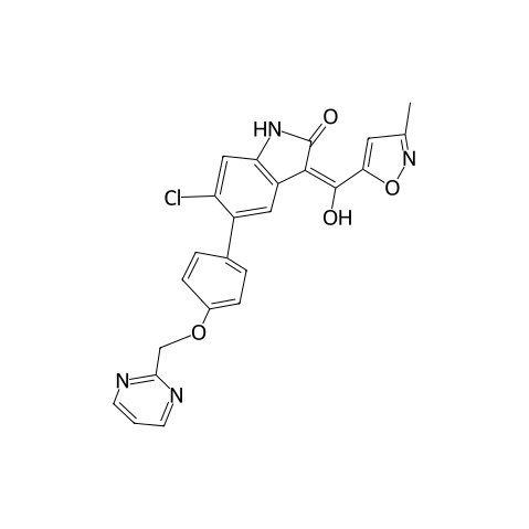 Cc1cc(/C(O)=C2\C(=O)Nc3cc(Cl)c(-c4ccc(OCc5ncccn5)cc4)cc32)on1